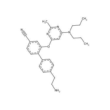 CCCN(CCC)c1cc(Oc2cc(C#N)ccc2-c2ccc(CCN)cc2)nc(C)n1